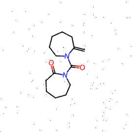 C=C1CCCCCN1C(=O)N1CCCCCC1=O